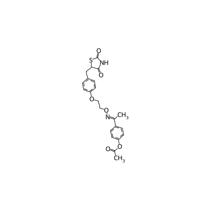 CC(=O)Oc1ccc(C(C)=NOCCOc2ccc(CC3SC(=O)NC3=O)cc2)cc1